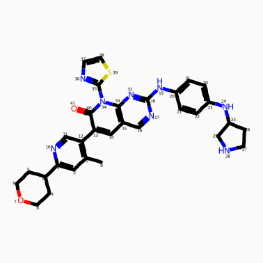 Cc1cc(C2CCOCC2)ncc1-c1cc2cnc(Nc3ccc(NC4CCNC4)cc3)nc2n(-c2nccs2)c1=O